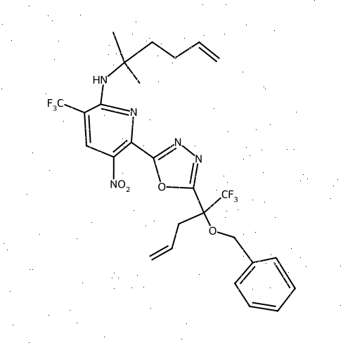 C=CCCC(C)(C)Nc1nc(-c2nnc(C(CC=C)(OCc3ccccc3)C(F)(F)F)o2)c([N+](=O)[O-])cc1C(F)(F)F